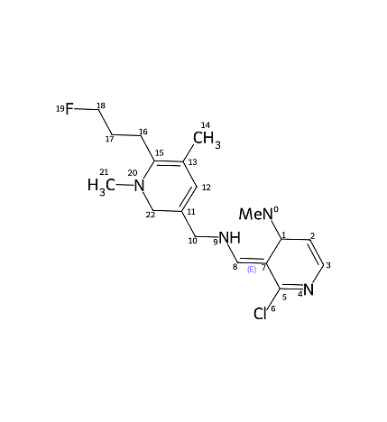 CNC1C=CN=C(Cl)/C1=C/NCC1=CC(C)=C(CCCF)N(C)C1